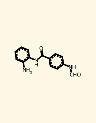 Nc1ccccc1NC(=O)c1ccc(NC=O)cc1